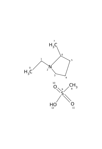 CCN1CCCC1C.CS(=O)(=O)O